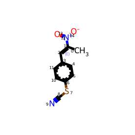 C/C(=C\c1ccc(SC#N)cc1)[N+](=O)[O-]